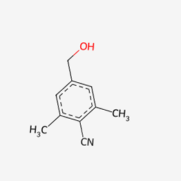 Cc1cc(CO)cc(C)c1C#N